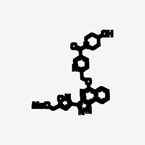 COCc1cc(-c2nnc3c4ccccc4c(OCc4ccc(C(=O)N5CCC(O)CC5)cn4)nn23)no1